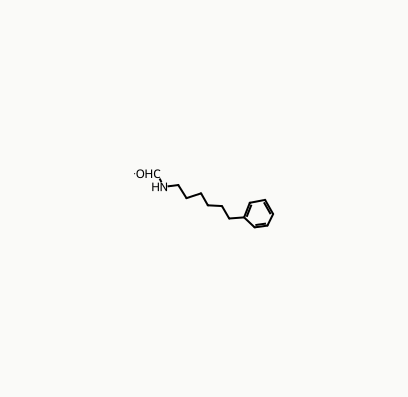 O=[C]NCCCCCCc1ccccc1